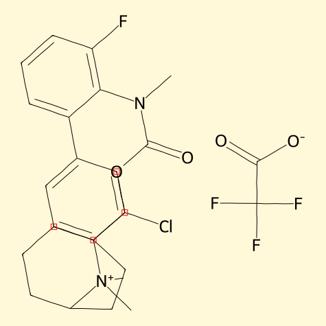 CN(C(=O)OCC12CCCC(CC1)[N+]2(C)C)c1c(F)cccc1-c1cccc(Cl)c1.O=C([O-])C(F)(F)F